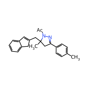 CC(=O)N1N=C(c2ccc(C)cc2)CC1(C)CC1=Cc2ccccc2C1